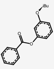 CC[C@H](C)Oc1cccc(OC(=O)c2ccccc2)c1